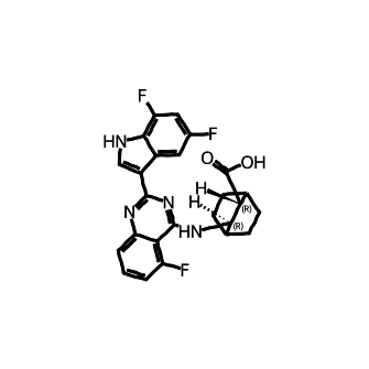 O=C(O)[C@@H]1C2CCC(CC2)[C@H]1Nc1nc(-c2c[nH]c3c(F)cc(F)cc23)nc2cccc(F)c12